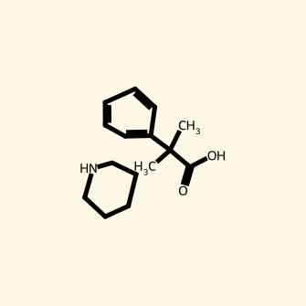 C1CCNCC1.CC(C)(C(=O)O)c1ccccc1